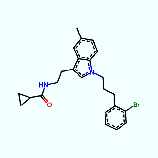 Cc1ccc2c(c1)c(CCNC(=O)C1CC1)cn2CCCc1ccccc1Br